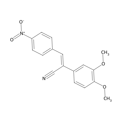 COc1ccc(C(C#N)=Cc2ccc([N+](=O)[O-])cc2)cc1OC